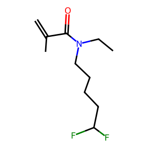 C=C(C)C(=O)N(CC)CCCCC(F)F